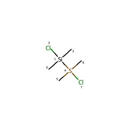 C[Si](C)(Cl)S(C)(C)Cl